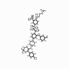 CN(C)CCCNc1ccc(S(=O)(=O)NC(=O)c2ccc(N3CCN(CC4=C(c5ccc(Cl)cc5)CC(C)(C)CC4)CC3)cc2Oc2cccc(F)c2)cc1[N+](=O)[O-]